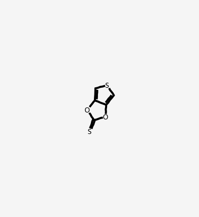 S=c1oc2cscc2o1